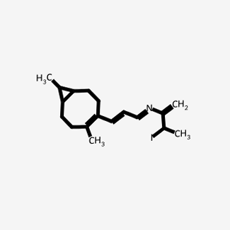 C=C(/N=C/C=C/C1=C(\C)CCC2C(C)C2CC1)C(C)I